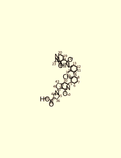 COc1nc(-c2cccc(-c3cccc(NC(=O)c4ccnn(C)c4=O)c3C)c2Cl)cc2c1C(N1CCC(C(=O)O)C1)CC2